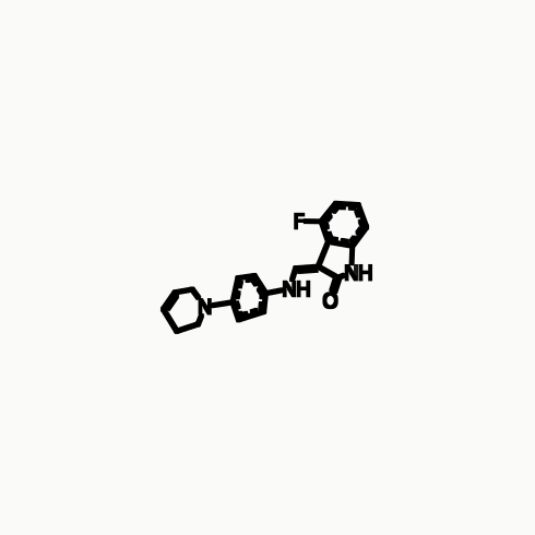 O=C1Nc2cccc(F)c2C1=CNc1ccc(N2CC=CCC2)cc1